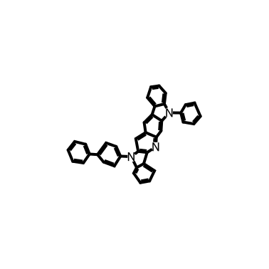 c1ccc(-c2ccc(-n3c4ccccc4c4nc5cc6c(cc5cc43)c3ccccc3n6-c3ccccc3)cc2)cc1